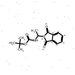 CC(NC(=O)OC(C)(C)C)N1C(=O)c2ccccc2C1=O